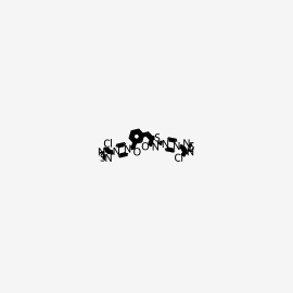 O=C1N=C(N2CCN(c3nsnc3Cl)CC2)S/C1=C/c1cccc(C(=O)N2CCN(c3nsnc3Cl)CC2)c1